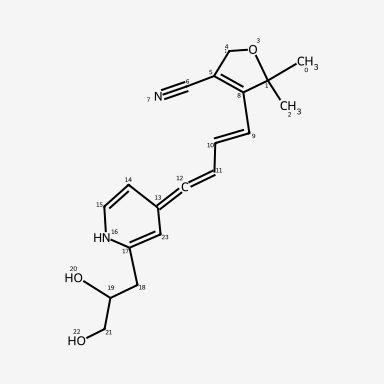 CC1(C)O[C]C(C#N)=C1C=CC=C=C1C=CNC(CC(O)CO)=C1